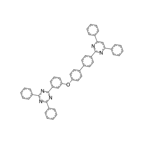 c1ccc(-c2cc(-c3ccccc3)nc(-c3ccc(-c4ccc(Oc5cccc(-c6nc(-c7ccccc7)nc(-c7ccccc7)n6)c5)cc4)cc3)n2)cc1